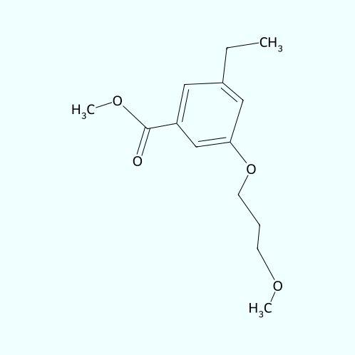 CCc1cc(OCCCOC)cc(C(=O)OC)c1